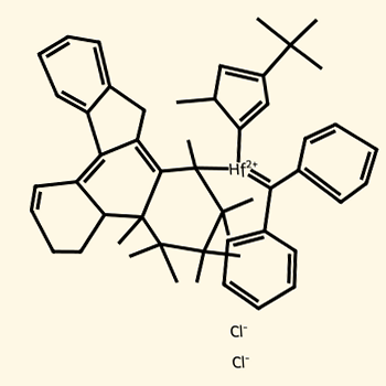 CC1C=C(C(C)(C)C)C=[C]1[Hf+2](=[C](c1ccccc1)c1ccccc1)[C]1(C)C2=C3Cc4ccccc4C3=C3C=CCCC3C2(C)C(C)(C)C(C)(C)C1(C)C.[Cl-].[Cl-]